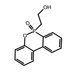 O=P1(CCO)Oc2ccccc2-c2ccccc21